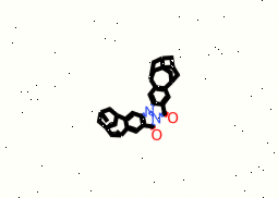 O=c1c2cc3c(cc2n2c4cc5c(cc4c(=O)n12)C1CC2CC4CC5CC24C1)C1CC2CC(CC3C2)C1